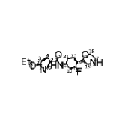 CCOc1ccc(C(=O)NC2C=C(F)C([C@@H]3CNCCO3)=CC2)cn1